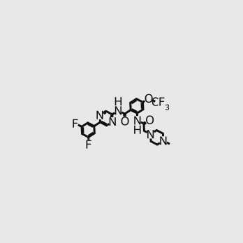 CN1CCN(CC(=O)Nc2cc(OC(F)(F)F)ccc2C(=O)Nc2cnc(-c3cc(F)cc(F)c3)cn2)CC1